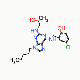 CCCCCn1cnc2c(NCc3cc(Cl)ccc3O)nc(NCC(C)O)nc21